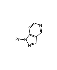 CC(C)n1ncc2cnccc21